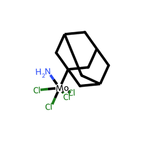 [NH2][Mo]([Cl])([Cl])([Cl])([Cl])[C]12CC3CC(CC(C3)C1)C2